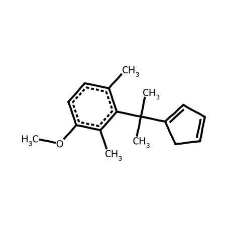 COc1ccc(C)c(C(C)(C)C2=CC=CC2)c1C